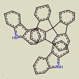 c1ccc2c(c1)-c1ccccc1C2(c1ccccc1-c1cccc2[nH]c3ccccc3c12)c1ccccc1-c1cccc2[nH]c3ccccc3c12